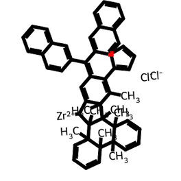 CC1=C(C2=CC=CC2)C(=C(c2ccc3ccccc3c2)c2ccc3ccccc3c2)C=C2[CH]([Zr+2])C3(C)C4(C)C=CC=CC4(C)C4(C)C=CC=CC4(C)C3(C)C21C.[Cl-].[Cl-]